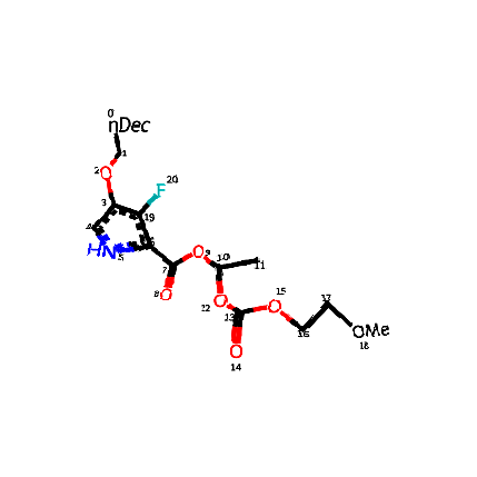 CCCCCCCCCCCOc1c[nH]c(C(=O)OC(C)OC(=O)OCCOC)c1F